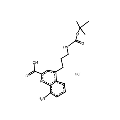 CC(C)(C)OC(=O)NCCCc1cc(C(=O)O)nc2c(N)cccc12.Cl